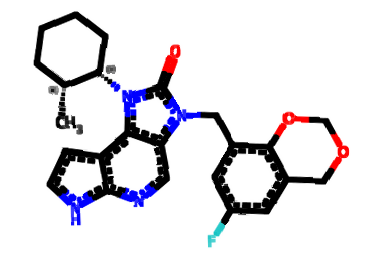 C[C@@H]1CCCC[C@@H]1n1c(=O)n(Cc2cc(F)cc3c2OCOC3)c2cnc3[nH]ccc3c21